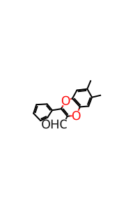 Cc1cc2c(cc1C)OC(c1ccccc1)=C(C=O)O2